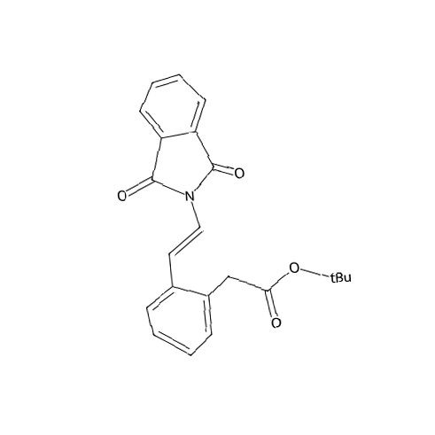 CC(C)(C)OC(=O)Cc1ccccc1/C=C/N1C(=O)c2ccccc2C1=O